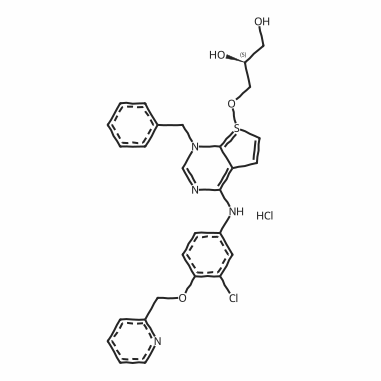 Cl.OC[C@H](O)COS1=C2C(=C(Nc3ccc(OCc4ccccn4)c(Cl)c3)N=CN2Cc2ccccc2)C=C1